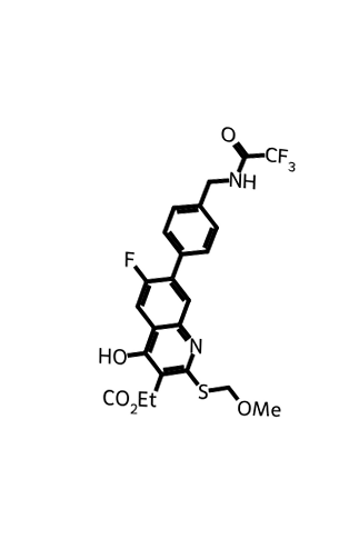 CCOC(=O)c1c(SCOC)nc2cc(-c3ccc(CNC(=O)C(F)(F)F)cc3)c(F)cc2c1O